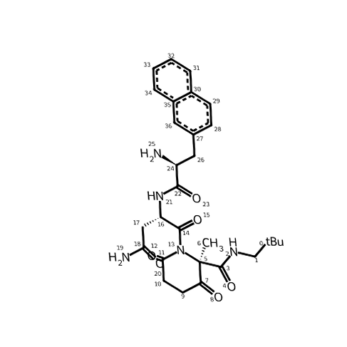 CC(C)(C)CNC(=O)[C@@]1(C)C(=O)CCC(=O)N1C(=O)[C@H](CC(N)=O)NC(=O)[C@@H](N)Cc1ccc2ccccc2c1